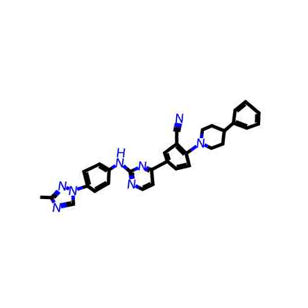 Cc1ncn(-c2ccc(Nc3nccc(-c4ccc(N5CCC(c6ccccc6)CC5)c(C#N)c4)n3)cc2)n1